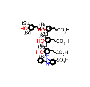 CC(C)(C)c1cc(CCC(=O)O)cc(C(C)(C)C)c1O.CC(C)(C)c1cc(CCC(=O)O)cc(C(C)(C)C)c1O.CC(C)(C)c1cc(CCC(=O)O)cc(C(C)(C)C)c1O.CC(C)(C)c1cc(CCC(=O)O)cc(C(C)(C)C)c1O.O=S(=O)(O)c1ccc2nc(-c3ccccc3)[nH]c2c1